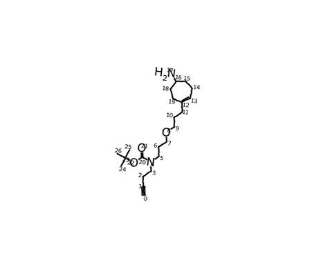 C#CCCN(CCCOCCCC1=CCCC(N)CC1)C(=O)OC(C)(C)C